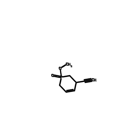 C#CC1C=CCP(=O)(OC)C1